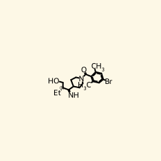 CC[C@H](CO)C(=N)C1CCN(C(=O)c2c(C)cc(Br)cc2C)CC1